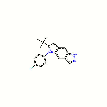 CC(C)(C)c1cc2cc3[nH]ncc3cc2n1-c1ccc(F)cc1